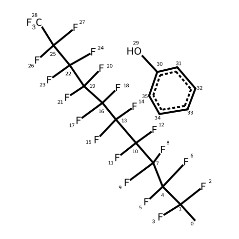 CC(F)(F)C(F)(F)C(F)(F)C(F)(F)C(F)(F)C(F)(F)C(F)(F)C(F)(F)C(F)(F)C(F)(F)F.Oc1ccccc1